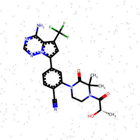 C[C@H](O)C(=O)N1CCN(c2cc(-c3cc(C(F)(F)F)c4c(N)ncnn34)ccc2C#N)C(=O)C1(C)C